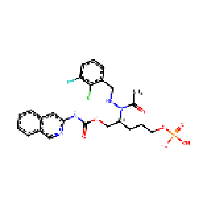 CC(=O)N(NCc1cccc(F)c1Cl)[C@@H](CCCOP(=O)(O)O)COC(=O)Nc1cc2ccccc2cn1